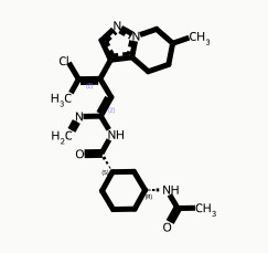 C=N/C(=C\C(=C(/C)Cl)c1cnn2c1CCC(C)C2)NC(=O)[C@H]1CCC[C@@H](NC(C)=O)C1